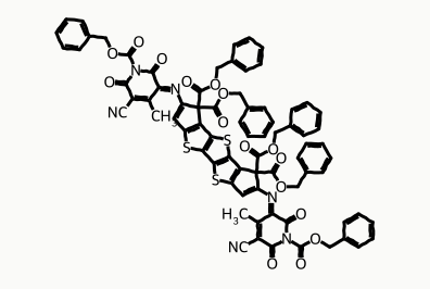 CC1=C(C#N)C(=O)N(C(=O)OCc2ccccc2)C(=O)/C1=N/C1=Cc2sc3c(sc4c5c(sc43)C=C(/N=C3/C(=O)N(C(=O)OCc4ccccc4)C(=O)C(C#N)=C3C)C5(C(=O)OCc3ccccc3)C(=O)OCc3ccccc3)c2C1(C(=O)OCc1ccccc1)C(=O)OCc1ccccc1